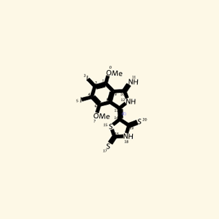 COc1c(I)c(I)c(OC)c2c1C(=N)N/C2=C1/SC(=S)NC1=S